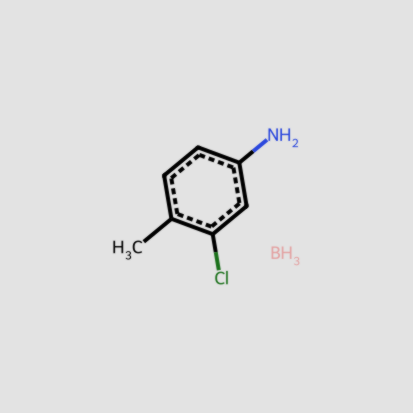 B.Cc1ccc(N)cc1Cl